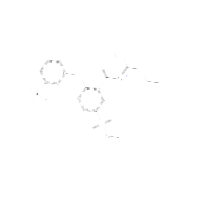 CCO/C(C)=N/C(=O)c1cc(S(=O)(=O)NC)ccc1Oc1cccc(C(F)(F)F)c1